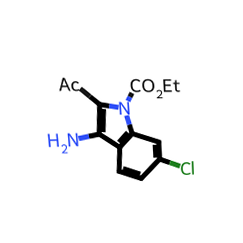 CCOC(=O)n1c(C(C)=O)c(N)c2ccc(Cl)cc21